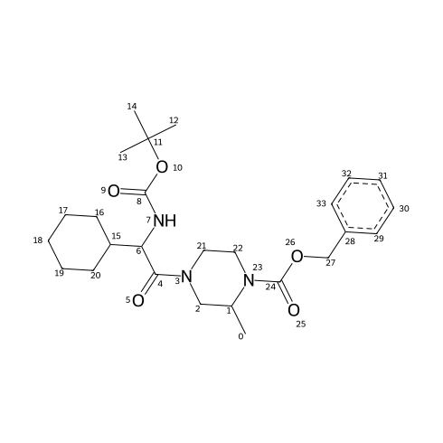 CC1CN(C(=O)C(NC(=O)OC(C)(C)C)C2CCCCC2)CCN1C(=O)OCc1ccccc1